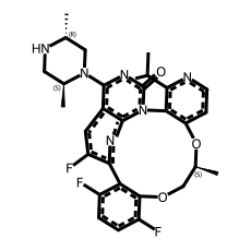 CC(C)c1nccc2c1-n1c(=O)nc(N3C[C@@H](C)NC[C@@H]3C)c3cc(F)c(nc31)-c1c(F)ccc(F)c1OC[C@H](C)O2